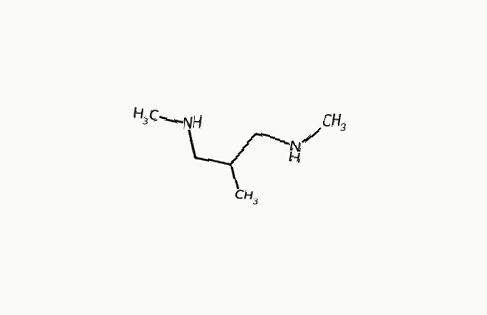 CNCC(C)CNC